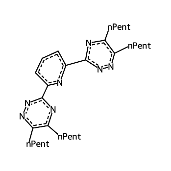 CCCCCc1nnc(-c2cccc(-c3nnc(CCCCC)c(CCCCC)n3)n2)nc1CCCCC